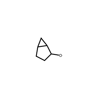 [O]C1CCC2CC12